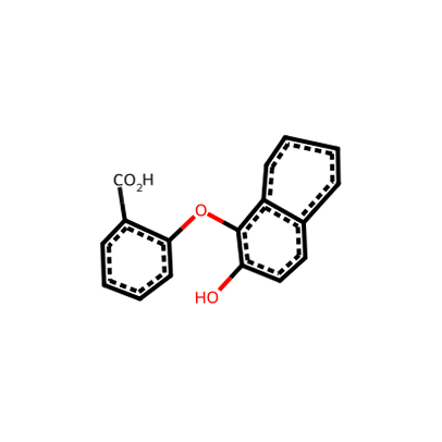 O=C(O)c1ccccc1Oc1c(O)ccc2ccccc12